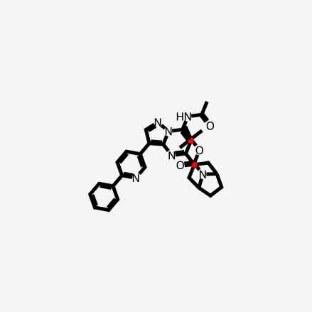 CC(=O)Nc1cc(C2CC3CCC(C2)N3C(=O)OC(C)(C)C)nc2c(-c3ccc(-c4ccccc4)nc3)cnn12